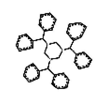 c1ccc(C(c2ccccc2)N2CN(C(c3ccccc3)c3ccccc3)CN(C(c3ccccc3)c3ccccc3)C2)cc1